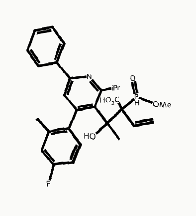 C=CC(C(=O)O)([PH](=O)OC)C(C)(O)c1c(-c2ccc(F)cc2C)cc(-c2ccccc2)nc1C(C)C